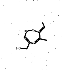 C/C=C1\ONC=C(CO)C=C1C